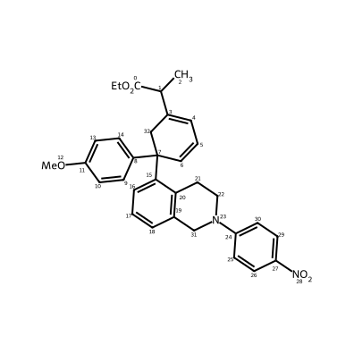 CCOC(=O)C(C)C1=CC=CC(c2ccc(OC)cc2)(c2cccc3c2CCN(c2ccc([N+](=O)[O-])cc2)C3)C1